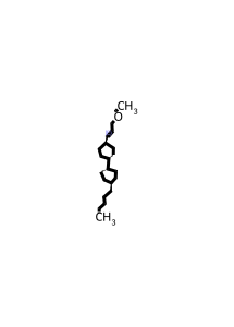 CCCCC[C@H]1CC[C@H]([C@H]2CC[C@H](/C=C/COCC)CC2)CC1